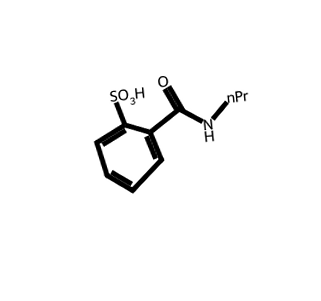 CCCNC(=O)c1ccccc1S(=O)(=O)O